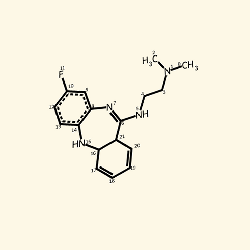 CN(C)CCNC1=Nc2cc(F)ccc2NC2C=CC=CC12